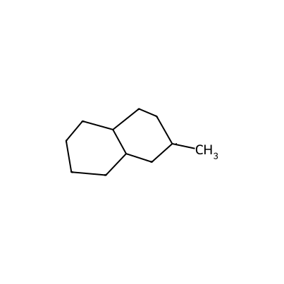 C[C]1CCC2CCCCC2C1